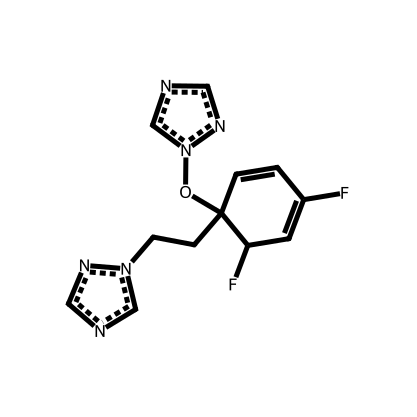 FC1=CC(F)C(CCn2cncn2)(On2cncn2)C=C1